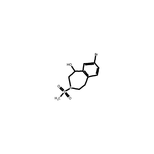 CS(=O)(=O)N1CCc2ccc(Br)cc2C(O)C1